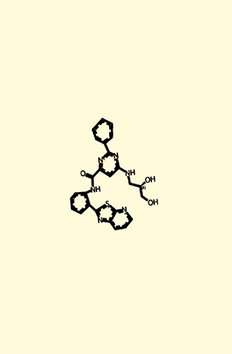 O=C(Nc1ccccc1-c1nc2cccnc2s1)c1cc(NC[C@@H](O)CO)nc(-c2ccccc2)n1